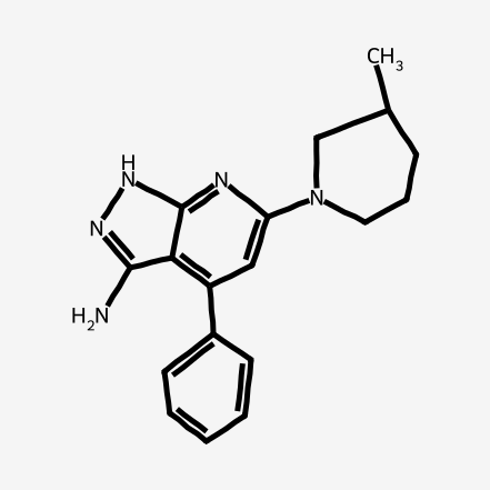 CC1CCCN(c2cc(-c3ccccc3)c3c(N)n[nH]c3n2)C1